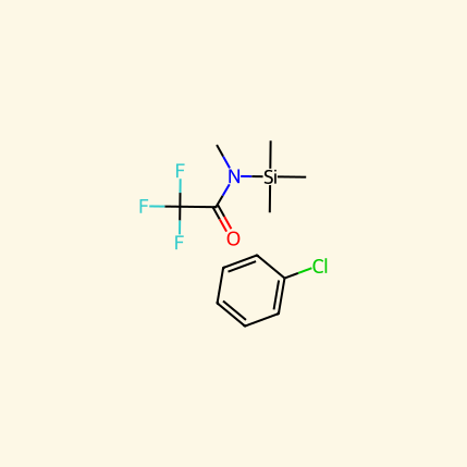 CN(C(=O)C(F)(F)F)[Si](C)(C)C.Clc1ccccc1